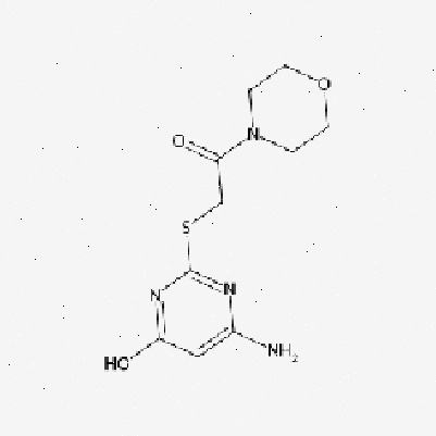 Nc1cc(O)nc(SCC(=O)N2CCOCC2)n1